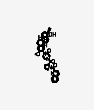 C#C[C@]1(O)CC[C@H]2[C@@H]3CCc4cc(OC)c(N5CCN(C(=O)[C@@H]6CCCN6C(=O)c6ccc7ccccc7n6)CC5=O)cc4[C@H]3CC[C@@]21C